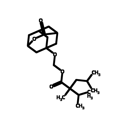 CC(C)CC(C)(C(=O)OCOC12CC3CC(C1)OC(=O)C(C3)C2)C(C)C